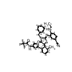 CCNc1ccc(C#N)cc1N=C1SC(=C2C(c3ncc(NC(=O)C(F)(F)F)s3)=CC=CC2C)C(=O)N1Cc1ccccc1